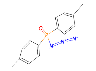 Cc1ccc(P(=O)(N=[N+]=[N-])c2ccc(C)cc2)cc1